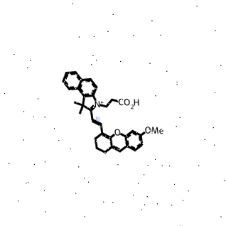 COc1ccc2c(c1)OC1=C(/C=C/C3=[N+](CCC(=O)O)c4ccc5ccccc5c4C3(C)C)CCCC1=C2